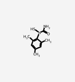 Cc1cc(C)c(N(S)C(N)=O)c(C)c1